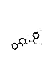 CCS(=O)(=O)c1ccc(C(CO)c2nc3c(F)c(-c4ccccc4)c(F)cc3[nH]2)cc1